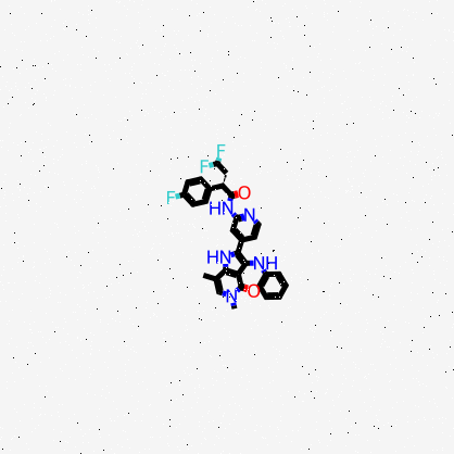 Cc1cn(C)c(=O)c2c(Nc3ccccc3)c(-c3ccnc(NC(=O)[C@@H](CC(F)F)c4ccc(F)cc4)c3)[nH]c12